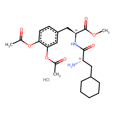 COC(=O)[C@H](Cc1ccc(OC(C)=O)c(OC(C)=O)c1)NC(=O)[C@@H](N)CC1CCCCC1.Cl